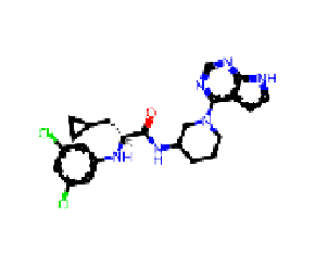 O=C(NC1CCCN(c2ncnc3[nH]ccc23)C1)[C@@H](CC1CC1)Nc1cc(Cl)cc(Cl)c1